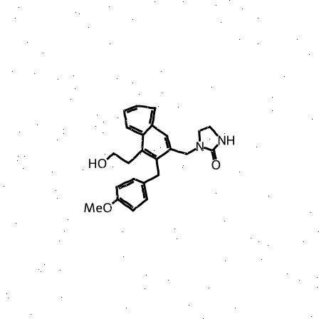 COc1ccc(Cc2c(CN3CCNC3=O)cc3ccccc3c2CCO)cc1